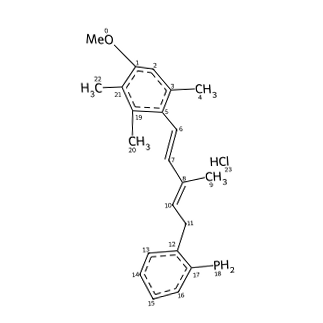 COc1cc(C)c(/C=C/C(C)=C/Cc2ccccc2P)c(C)c1C.Cl